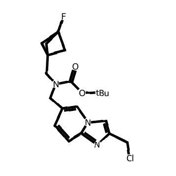 CC(C)(C)OC(=O)N(Cc1ccc2nc(CCl)cn2c1)CC12CC(F)(C1)C2